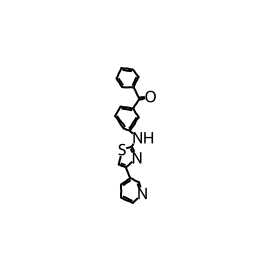 O=C(c1ccccc1)c1cccc(Nc2nc(-c3cccnc3)cs2)c1